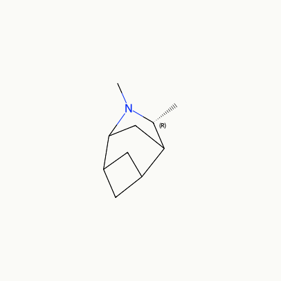 C[C@@H]1C2CC(C3CC2C3)N1C